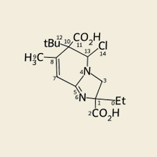 CCC1(C(=O)O)CN2C(=N1)C=C(C)C(C(=O)O)(C(C)(C)C)C2Cl